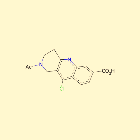 CC(=O)N1CCc2nc3cc(C(=O)O)ccc3c(Cl)c2C1